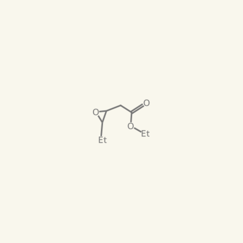 CCOC(=O)CC1OC1CC